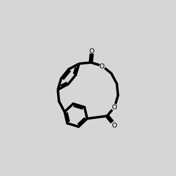 O=C1OCCCOC(=O)c2ccc(cc2)Cc2ccc1cc2